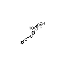 O=C(O)ON1CCC(c2ccc(OCCCOCc3ccsc3)cc2)C(O)C1